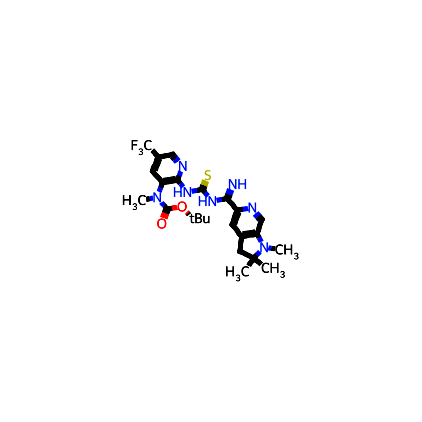 CN(C(=O)OC(C)(C)C)c1cc(C(F)(F)F)cnc1NC(=S)NC(=N)c1cc2c(cn1)N(C)C(C)(C)C2